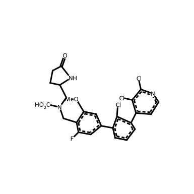 COc1cc(-c2cccc(-c3ccnc(Cl)c3Cl)c2Cl)cc(F)c1CN(CC1CCC(=O)N1)C(=O)O